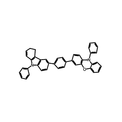 C1=Cc2c(c3cc(-c4ccc(-c5ccc6c(c5)Oc5ccccc5N6c5ccccc5)cc4)ccc3n2-c2ccccc2)CC1